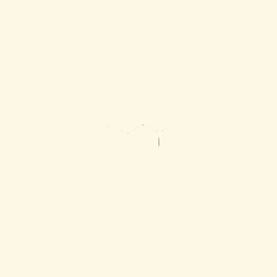 C[As](Cl)CCO